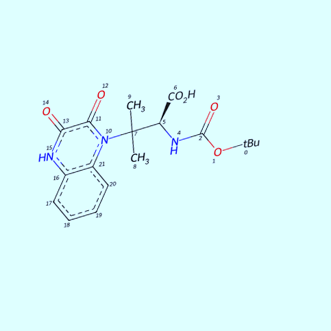 CC(C)(C)OC(=O)N[C@H](C(=O)O)C(C)(C)n1c(=O)c(=O)[nH]c2ccccc21